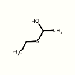 [CH2]CSC(C)O